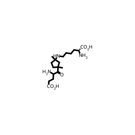 CC1(NCCCC[C@H](N)C(=O)O)CCC(C)(C(=O)C(N)CCC(=O)O)C1